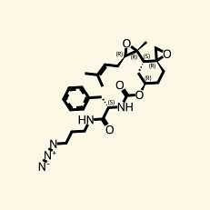 CC(C)=CC[C@H]1O[C@]1(C)[C@H]1C[C@H](OC(=O)N[C@@H](Cc2ccccc2)C(=O)NCCCN=[N+]=[N-])CC[C@]12CO2